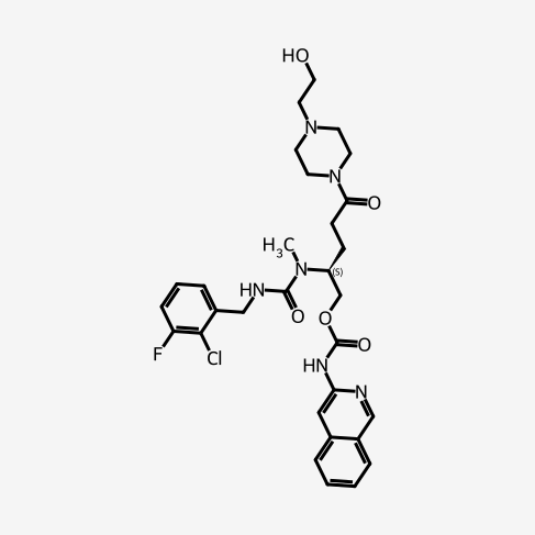 CN(C(=O)NCc1cccc(F)c1Cl)[C@@H](CCC(=O)N1CCN(CCO)CC1)COC(=O)Nc1cc2ccccc2cn1